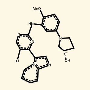 COc1ccc(N2CC[C@H](O)C2)cc1Nc1ncc(Cl)c(-c2cnc3ccccn23)n1